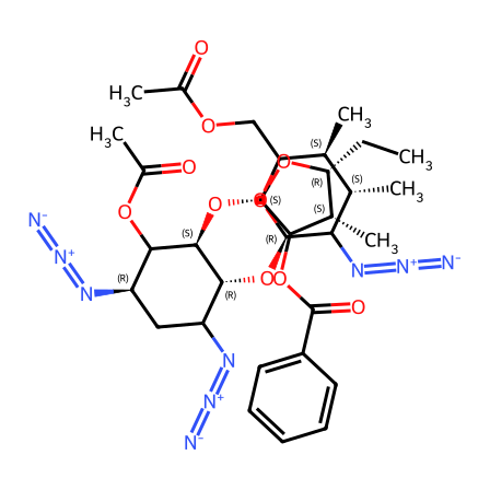 CC[C@H]1O[C@@H](O[C@@H]2C(OC(C)=O)[C@H](N=[N+]=[N-])CC(N=[N+]=[N-])[C@H]2O[C@H]2OC(COC(C)=O)[C@@H](C)[C@H](C)C2N=[N+]=[N-])C(OC(=O)c2ccccc2)[C@H]1C